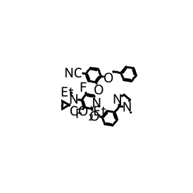 CCOC(=O)C1(N(CC)c2c(F)c(Oc3cccc(C4=NCCN4C)c3)nc(Oc3cc(C#N)ccc3OCc3ccccc3)c2F)CC1